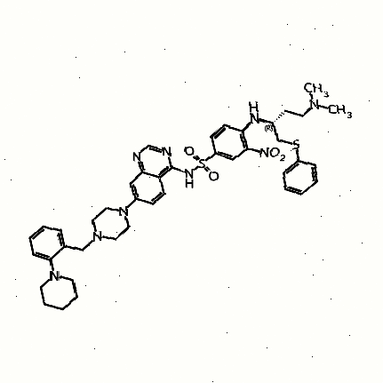 CN(C)CC[C@H](CSc1ccccc1)Nc1ccc(S(=O)(=O)Nc2ncnc3cc(N4CCN(Cc5ccccc5N5CCCCC5)CC4)ccc23)cc1[N+](=O)[O-]